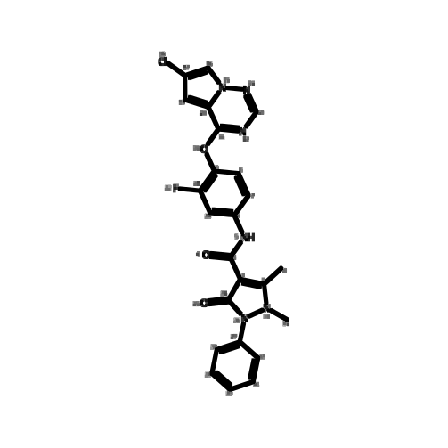 Cc1c(C(=O)Nc2ccc(Oc3ncnn4cc(Cl)cc34)c(F)c2)c(=O)n(-c2ccccc2)n1C